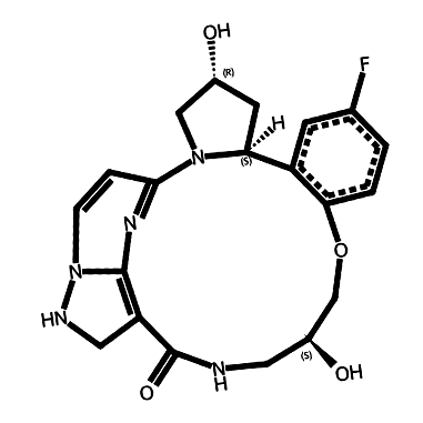 O=C1NC[C@H](O)COc2ccc(F)cc2[C@@H]2C[C@@H](O)CN2C2=NC3=C1CNN3C=C2